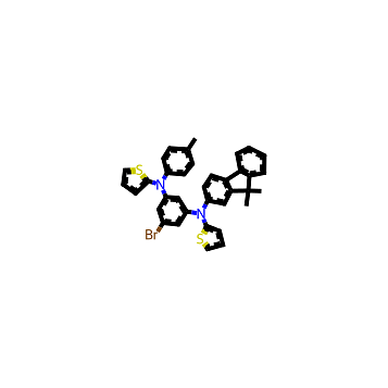 Cc1ccc(N(c2cc(Br)cc(N(c3ccc4c(c3)C(C)(C)c3ccccc3-4)c3cccs3)c2)c2cccs2)cc1